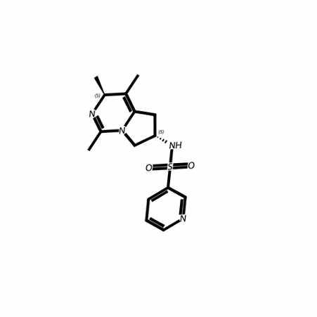 CC1=N[C@@H](C)C(C)=C2C[C@H](NS(=O)(=O)c3cccnc3)CN12